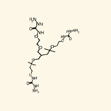 CC(C)(CCONC(=O)NN)OCC(COCCONC(=O)NN)CC(C)(C)OCCONC(=O)NN